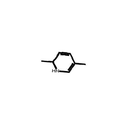 CC1=CNC(C)C=C1